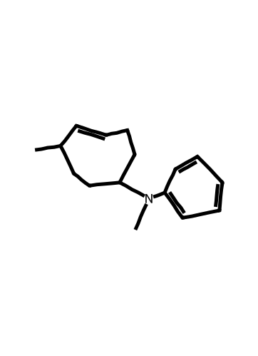 CC1/C=C/CCC(N(C)c2ccccc2)CC1